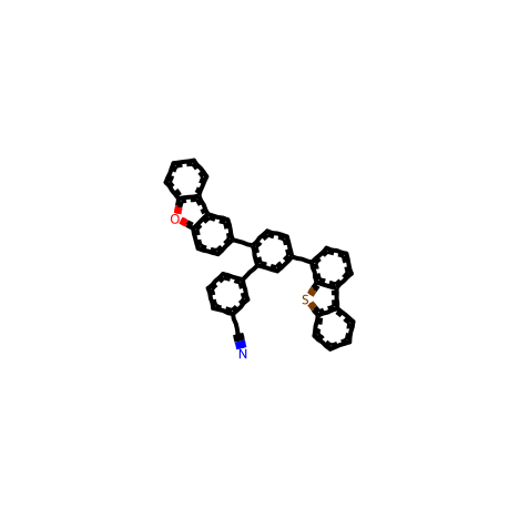 N#Cc1cccc(-c2cc(-c3cccc4c3sc3ccccc34)ccc2-c2ccc3oc4ccccc4c3c2)c1